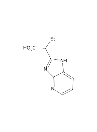 CCC(C(=O)O)c1nc2ncccc2[nH]1